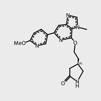 COc1ccc(-c2cc3ncn(C)c3c(OCC[C@H]3CNC(=O)C3)n2)cn1